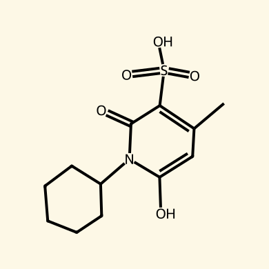 Cc1cc(O)n(C2CCCCC2)c(=O)c1S(=O)(=O)O